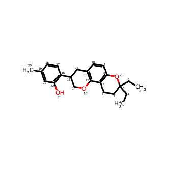 CCC1(CC)CCc2c(ccc3c2OCC(c2ccc(C)cc2O)C3)O1